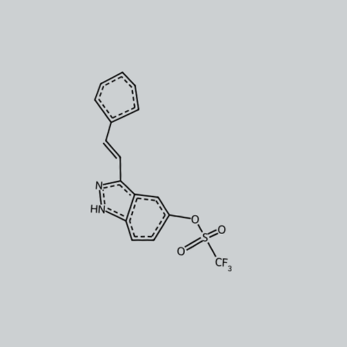 O=S(=O)(Oc1ccc2[nH]nc(/C=C/c3ccccc3)c2c1)C(F)(F)F